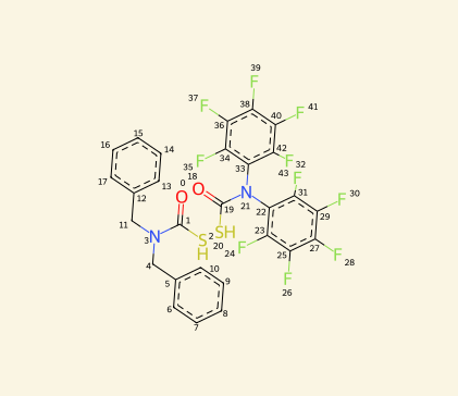 O=C(S)N(Cc1ccccc1)Cc1ccccc1.O=C(S)N(c1c(F)c(F)c(F)c(F)c1F)c1c(F)c(F)c(F)c(F)c1F